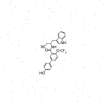 N#CCC(Cc1c[nH]c2ccccc12)NC(=O)c1cc(-c2ccc(O)cc2)ccc1OC(F)(F)F